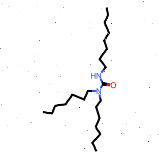 CCCCCCCCNC(=O)N(CCCCCCC)CCCCCCC